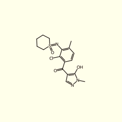 Cc1ccc(C(=O)c2cnn(C)c2O)c(Cl)c1N=S1(=O)CCCCC1